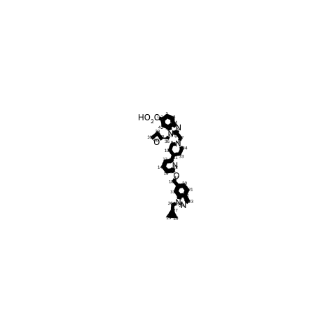 O=C(O)c1ccc2nc(CN3CCC(c4cccc(OCc5ccc6cnn(CC7CC7)c6c5)n4)CC3)n(C[C@@H]3CCO3)c2c1